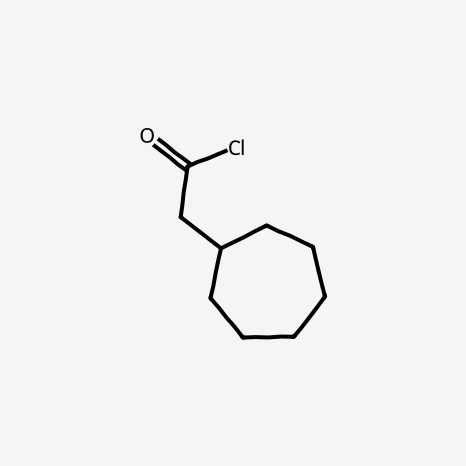 O=C(Cl)CC1CCCCCC1